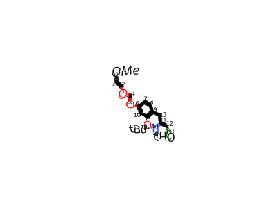 COCCOCOc1ccc(CC(CCl)N(C=O)OC(C)(C)C)cc1